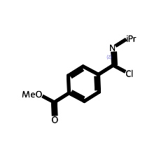 COC(=O)c1ccc(/C(Cl)=N/C(C)C)cc1